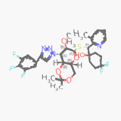 CO[C@@H]1[C@@H](n2cc(-c3cc(F)c(F)c(F)c3)nn2)[C@H]2OC(C)(C)OC[C@H]2O[C@H]1S[C@H](c1ncccc1C)C1(O)CCC(F)(F)CC1